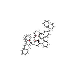 c1ccc(-c2ccc(N(c3ccccc3-c3ccc(-n4c5ccccc5c5cc6ccccc6cc54)cc3)c3ccc(-c4cccc5ccccc45)cc3-c3ccccc3)cc2)cc1